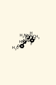 COc1cccc(-c2cc(Nc3cc(NC(C)c4ccc(F)cc4F)nc(N)n3)n[nH]2)c1